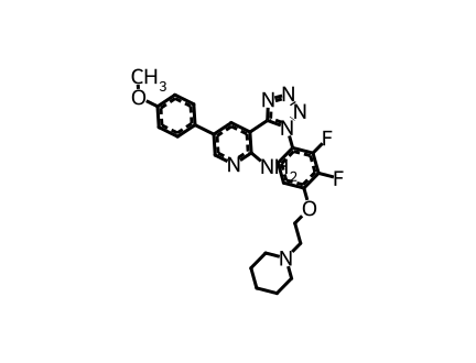 COc1ccc(-c2cnc(N)c(-c3nnnn3-c3ccc(OCCN4CCCCC4)c(F)c3F)c2)cc1